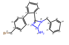 Nn1nc(-c2ccccc2-c2ccc(CBr)cc2)n1Cc1ccccc1